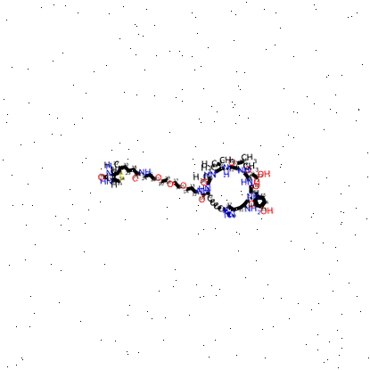 C=C1N[C@@H](C)C(=O)N[C@H](C(=O)NCCCOCCOCCOCCCNC(=O)CCC[C@H](C)C2SC[C@H]3NC(=O)N[C@@H]23)CCCCn2cc(nn2)C[C@H](N)C(=O)N[C@@H](Cc2ccc(O)cc2)C(=O)N[C@@H](CC(=O)O)C(=O)N[C@@H](CC(C)C)C(=O)N[C@H]1C(C)C